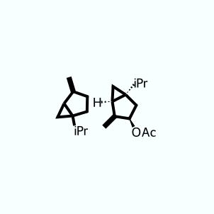 C=C1CCC2(C(C)C)CC12.C=C1[C@H]2C[C@@]2(C(C)C)C[C@H]1OC(C)=O